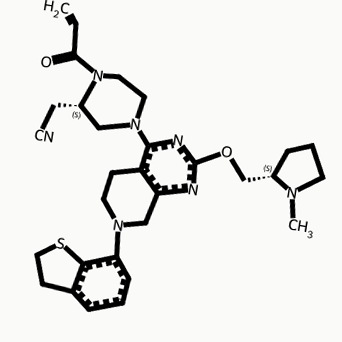 C=CC(=O)N1CCN(c2nc(OC[C@@H]3CCCN3C)nc3c2CCN(c2cccc4c2SCC4)C3)C[C@@H]1CC#N